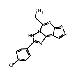 CCc1nc2nncc-2c2nc(-c3ccc(Cl)cc3)[nH]n12